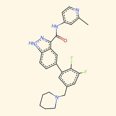 Cc1cc(NC(=O)c2n[nH]c3ccc(-c4cc(CN5CCCCC5)cc(F)c4F)cc23)ccn1